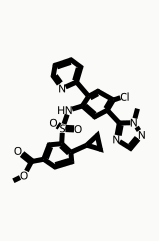 COC(=O)c1ccc(C2CC2)c(S(=O)(=O)Nc2cc(-c3ncnn3C)c(Cl)cc2-c2ccccn2)c1